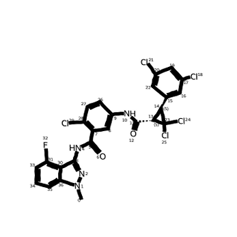 Cn1nc(NC(=O)c2cc(NC(=O)[C@@H]3[C@@H](c4cc(Cl)cc(Cl)c4)C3(Cl)Cl)ccc2Cl)c2c(F)cccc21